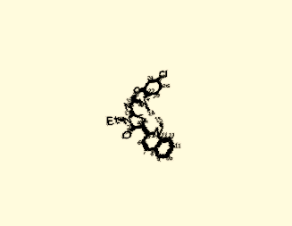 CCN1C(=O)/C(=C2\C=Cc3ccccc3N2C)S/C1=N\c1sc2c([n+]1C)CCC(Cl)=C2